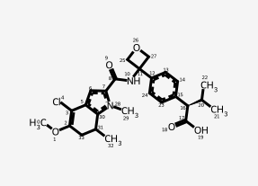 COC1=C(Cl)c2cc(C(=O)NC3(c4ccc([C@H](C(=O)O)C(C)C)cc4)COC3)n(C)c2C(C)C1